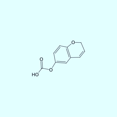 O=C(O)Oc1ccc2c(c1)C=CCO2